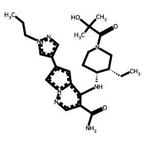 CCCn1cc(-c2cc3c(N[C@@H]4CCN(C(=O)C(C)(C)O)C[C@@H]4CC)c(C(N)=O)cnn3c2)cn1